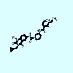 C=CC/C(F)=C(\C=C/C)C(=O)N[C@@H]1CCCN(C(=O)Nc2ccc3c(c2)c(=O)n(CC2CC2)c(=O)n3C(C)C)C1